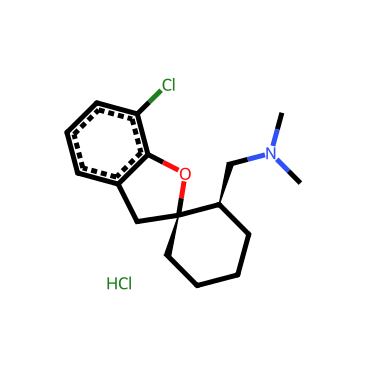 CN(C)C[C@H]1CCCC[C@]12Cc1cccc(Cl)c1O2.Cl